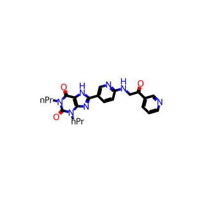 CCCn1c(=O)c2[nH]c(-c3ccc(NCC(=O)c4cccnc4)nc3)nc2n(CCC)c1=O